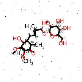 COC1=C(OC)C(O)C(C/C=C(\C)CO[C@H]2OC(CO)[C@H](O)[C@@H](O)C2O)C(C)C1=O